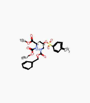 Cc1ccc(S(=O)(=O)O[C@@H](CNC(=O)OCC2C=CC=CC2)C[C@H](NC(=O)OC(C)(C)C)C(=O)OC(C)(C)C)cc1